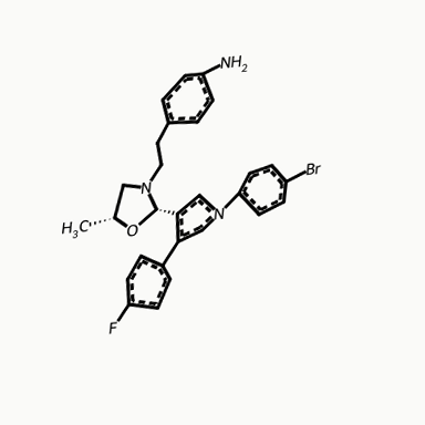 C[C@@H]1CN(CCc2ccc(N)cc2)[C@H](c2cn(-c3ccc(Br)cc3)cc2-c2ccc(F)cc2)O1